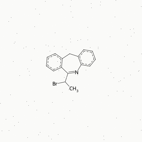 CC(Br)C1=Nc2ccccc2Cc2ccccc21